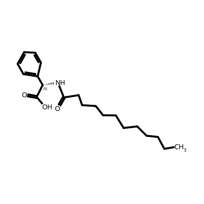 CCCCCCCCCCCC(=O)N[C@H](C(=O)O)c1ccccc1